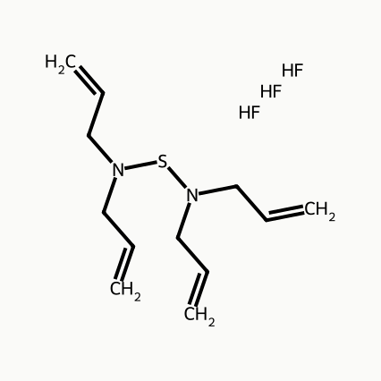 C=CCN(CC=C)SN(CC=C)CC=C.F.F.F